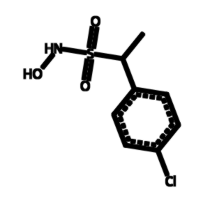 CC(c1ccc(Cl)cc1)S(=O)(=O)NO